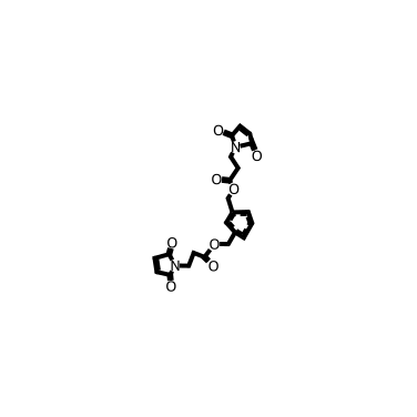 O=C(CCN1C(=O)C=CC1=O)OCc1cccc(COC(=O)CCN2C(=O)C=CC2=O)c1